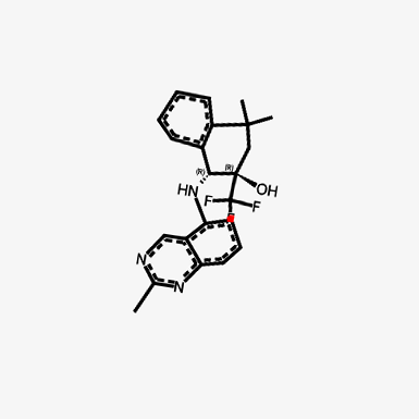 Cc1ncc2c(N[C@@H]3c4ccccc4C(C)(C)C[C@]3(O)C(F)(F)F)cccc2n1